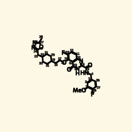 COc1cc(CNC(=O)c2nc3ccc(F)c(OCCC4CCC(Cc5nnc(C)o5)CC4)c3c(=O)[nH]2)ccc1F